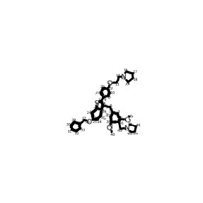 COc1cc(Cc2c(-c3ccc(OCCN4CCCC4)cc3)sc3cc(OCc4ccccc4)ccc23)cc(OC)c1CN1CCCC1